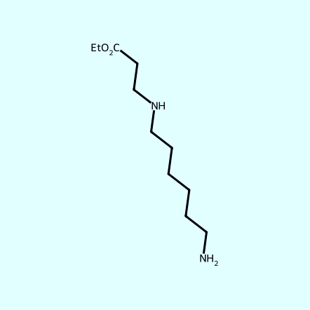 CCOC(=O)CCNCCCCCCN